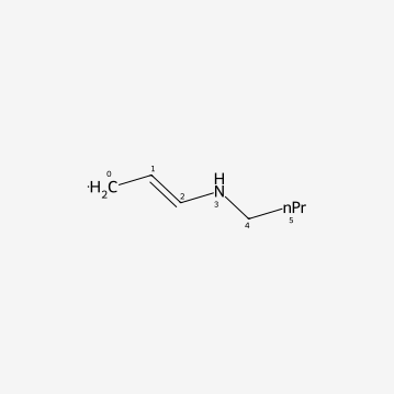 [CH2]C=CNCCCC